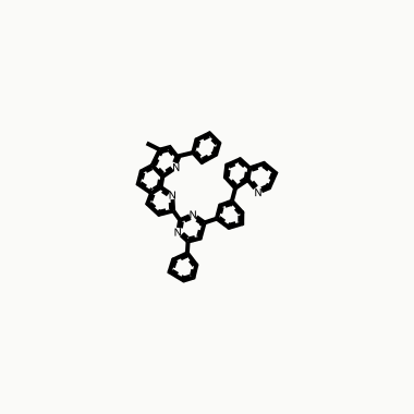 Cc1cc(-c2ccccc2)nc2c1ccc1ccc(-c3nc(-c4ccccc4)cc(-c4cccc(-c5cccc6cccnc56)c4)n3)nc12